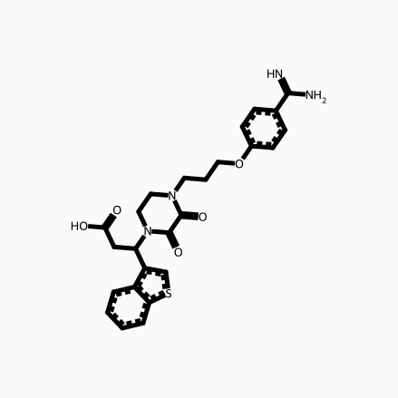 N=C(N)c1ccc(OCCCN2CCN(C(CC(=O)O)c3csc4ccccc34)C(=O)C2=O)cc1